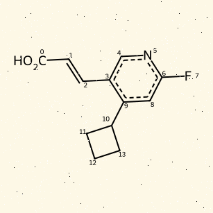 O=C(O)/C=C/c1cnc(F)cc1C1CCC1